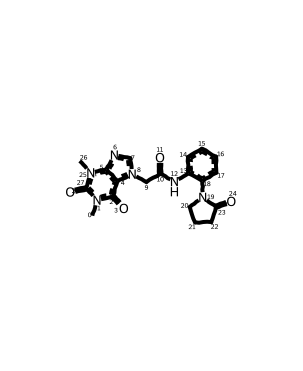 Cn1c(=O)c2c(ncn2CC(=O)Nc2ccccc2N2CCCC2=O)n(C)c1=O